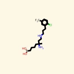 CC(N)(CCCCB(O)O)CCNCCCc1cc(C(F)(F)F)ccc1Cl